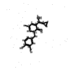 Cc1cc(C(O)=C2CC2)c(=O)n(Cc2ccc(F)c(F)c2)n1